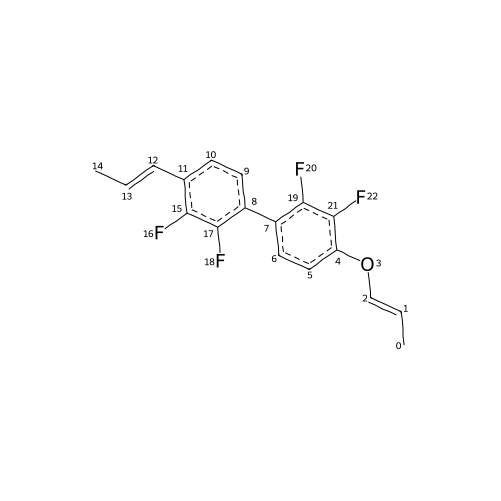 C/C=C/Oc1ccc(-c2ccc(/C=C/C)c(F)c2F)c(F)c1F